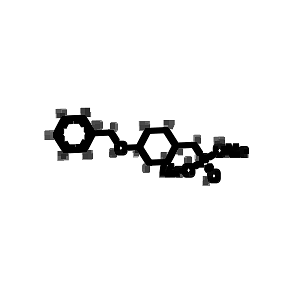 COP(=O)(CC1CCC(OCc2ccccc2)CC1)OC